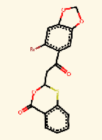 O=C(CC1OC(=O)c2ccccc2S1)c1cc2c(cc1Br)OCO2